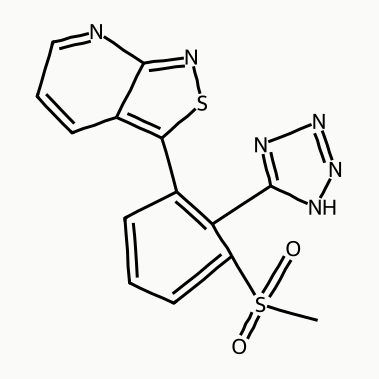 CS(=O)(=O)c1cccc(-c2snc3ncccc23)c1-c1nnn[nH]1